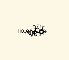 NC(=O)c1c(-c2ccc(F)c(Cl)c2)nn2c1CN(C(=O)O)CC2